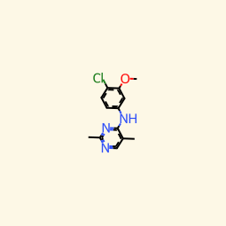 COc1cc(Nc2nc(C)ncc2C)ccc1Cl